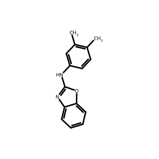 Cc1ccc(Nc2nc3ccccc3o2)cc1C